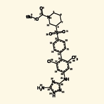 CC(C)(C)OC(=O)N1CCCC(S(=O)(=O)c2ccc(-c3c(Cl)cc(Nc4n[nH]c(N)n4)cc3C(F)(F)F)cc2)C1